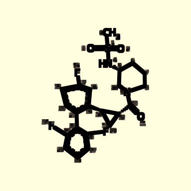 CS(=O)(=O)N[C@@H]1CCCN(C(=O)[C@@H]2C[C@H]2c2cc(F)ccc2-c2c(F)cccc2F)C1